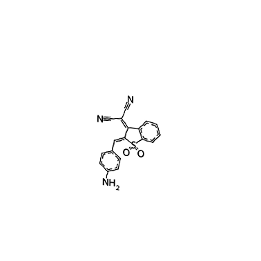 N#CC(C#N)=C1C(=Cc2ccc(N)cc2)S(=O)(=O)c2ccccc21